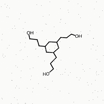 OCCCC1CC(CCCO)CC(CCCO)C1